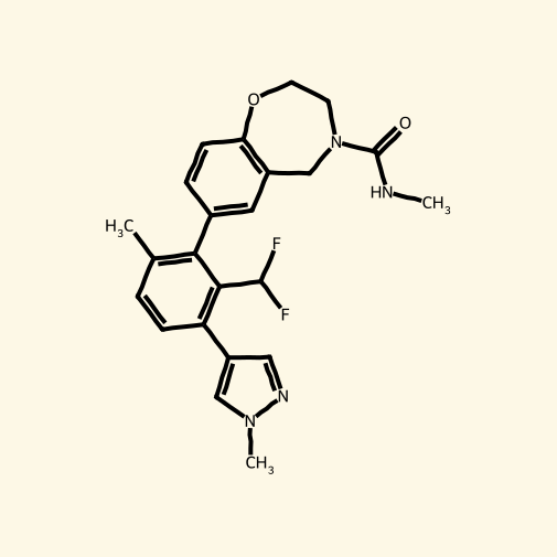 CNC(=O)N1CCOc2ccc(-c3c(C)ccc(-c4cnn(C)c4)c3C(F)F)cc2C1